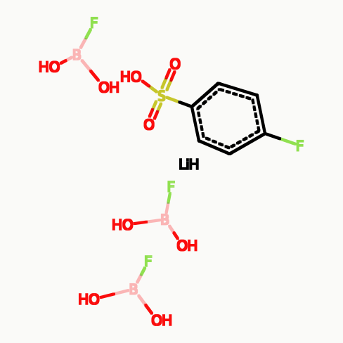 O=S(=O)(O)c1ccc(F)cc1.OB(O)F.OB(O)F.OB(O)F.[LiH]